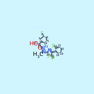 CN(/N=C/c1ccc(F)cc1C(=O)O)c1nc(-c2ccccc2F)c(F)s1